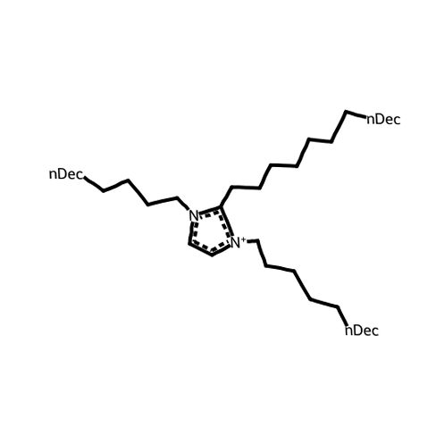 CCCCCCCCCCCCCCCCCc1n(CCCCCCCCCCCCCC)cc[n+]1CCCCCCCCCCCCCCC